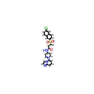 CC(CC(=O)NC1CCN(c2cccc3nccn23)CC1)S(=O)(=O)c1ccc2cc(Cl)ccc2c1